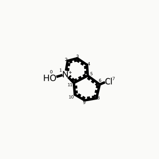 O[n+]1cccc2c(Cl)cccc21